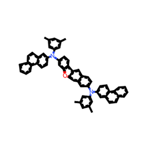 Cc1cc(C)cc(N(c2ccc3cc4c(cc3c2)oc2cc(N(c3cc(C)cc(C)c3)c3ccc5c(ccc6ccccc65)c3)ccc24)c2ccc3c(ccc4ccccc43)c2)c1